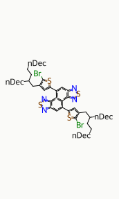 CCCCCCCCCCCCC(CCCCCCCCCC)Cc1cc(-c2cc3nsnc3c3c(-c4cc(CC(CCCCCCCCCC)CCCCCCCCCCCC)c(Br)s4)cc4nsnc4c23)sc1Br